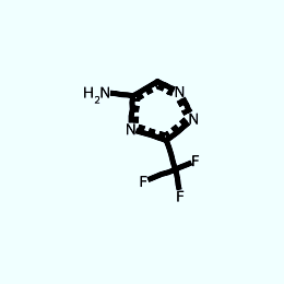 Nc1cnnc(C(F)(F)F)n1